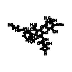 CN[C@@H]1C(O)[C@@H](OC(C(O)C(O[C@H]2O[C@H](CNCCO)CCC2N)[C@H](C)N)[C@@H](C)NC(=O)C2(O)CNC2)OCC1(C)O